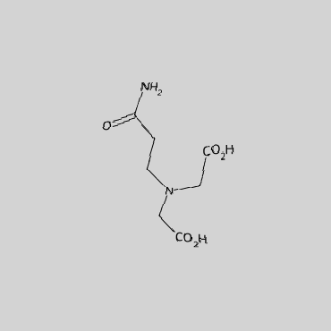 NC(=O)CCN(CC(=O)O)CC(=O)O